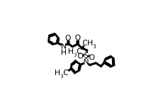 Cc1ccc(N(CCCc2ccccc2)S(=O)(=O)CC(C)(C)C(=O)CC(=O)Nc2ccccc2)cc1